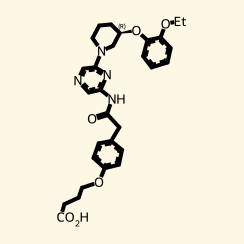 CCOc1ccccc1O[C@@H]1CCCN(c2cncc(NC(=O)Cc3ccc(OCCCC(=O)O)cc3)n2)C1